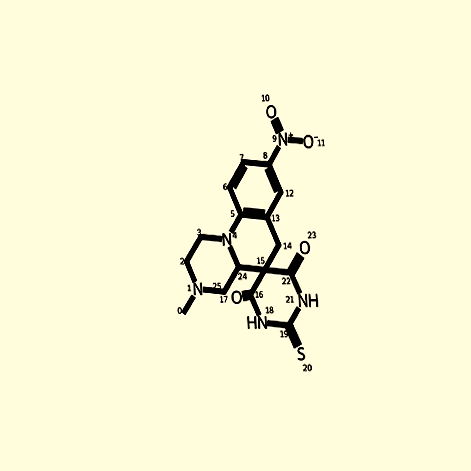 CN1CCN2c3ccc([N+](=O)[O-])cc3CC3(C(=O)NC(=S)NC3=O)C2C1